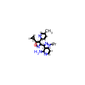 Cc1ccc(-c2c(-c3nn(C(C)C)c4ccnc(N)c34)noc2C2CC2)nc1